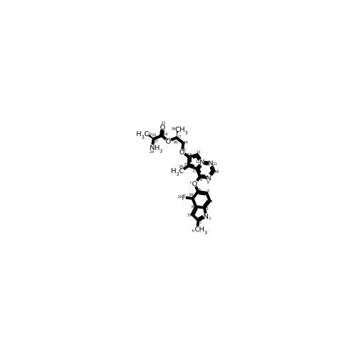 CC1=NC2=CC=C(Oc3ncnn4cc(OC[C@@H](C)OC(=O)[C@H](C)N)c(C)c34)C(F)C2=C1